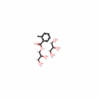 Cc1ccccc1C(=O)OCC(O)CO.OCC(O)CO